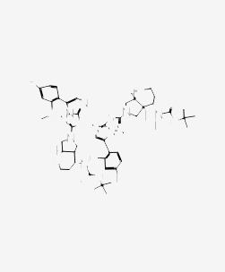 COc1cc(F)ccc1-c1cnc2sc(N3C[C@@H]4[C@H](C3)OCC[C@@H]4N(Oc3cc(F)ccc3-c3cnc4sc(N5C[C@H]6[C@@H](NC(=O)OC(C)(C)C)CCO[C@H]6C5)nn34)C(=O)OC(C)(C)C)nn12